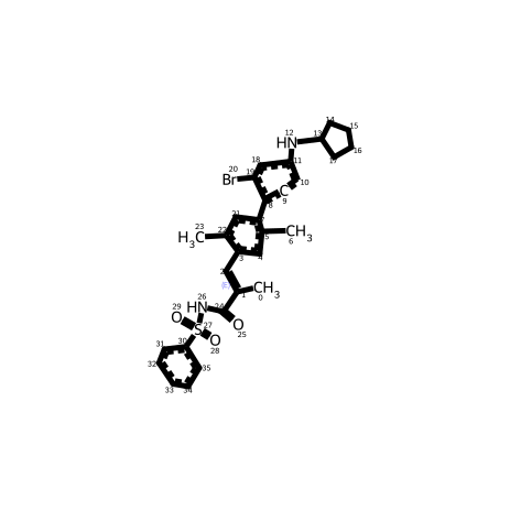 C/C(=C\c1cc(C)c(-c2ccc(NC3CCCC3)cc2Br)cc1C)C(=O)NS(=O)(=O)c1ccccc1